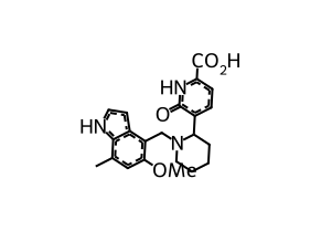 COc1cc(C)c2[nH]ccc2c1CN1CCCCC1c1ccc(C(=O)O)[nH]c1=O